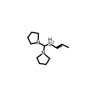 CC=C[SiH2]C(N1CCCC1)N1CCCC1